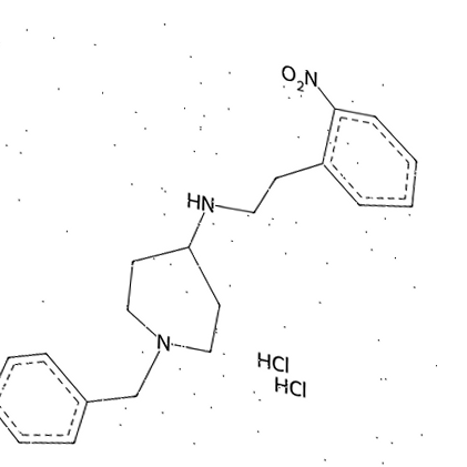 Cl.Cl.O=[N+]([O-])c1ccccc1CCNC1CCN(Cc2ccccc2)CC1